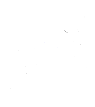 C=CC/C=C(\C=C/CC[C@H](NC(=O)c1ccc(C(C)(C)C)cc1)C(=O)OC(C)(C)C)c1ncc(-c2ccc(OCCCCCCC)cc2)c(OC)n1